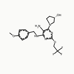 COc1ccc(CNc2nc(OCC(F)(F)F)nc(N3CC[C@H](O)C3)c2N)cc1